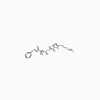 NCCCCc1nnc(C(=O)NCCC(=O)ONC(=O)OCc2ccccc2)s1